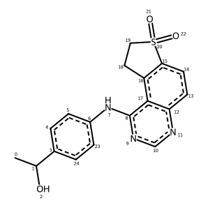 CC(O)c1ccc(Nc2ncnc3ccc4c(c23)CCS4(=O)=O)cc1